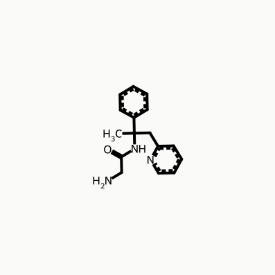 CC(Cc1ccccn1)(NC(=O)CN)c1ccccc1